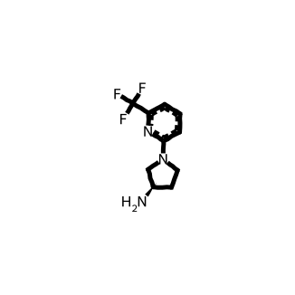 N[C@@H]1CCN(c2cccc(C(F)(F)F)n2)C1